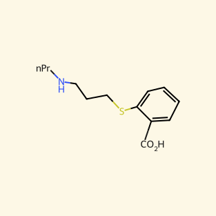 CCCNCCCSc1ccccc1C(=O)O